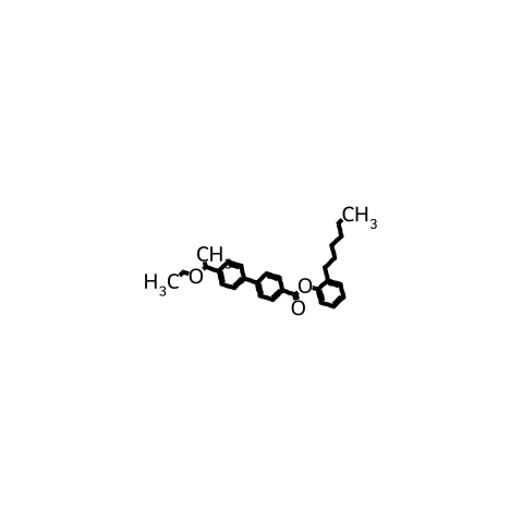 CCCCCCc1ccccc1OC(=O)c1ccc(-c2ccc(C(C)OCC)cc2)cc1